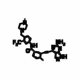 Cc1ccc(C(=O)Nc2ccc(CN3CCN(C)CC3)c(C(F)(F)F)c2)cc1C#Cc1nc(N)nc2[nH]ncc12